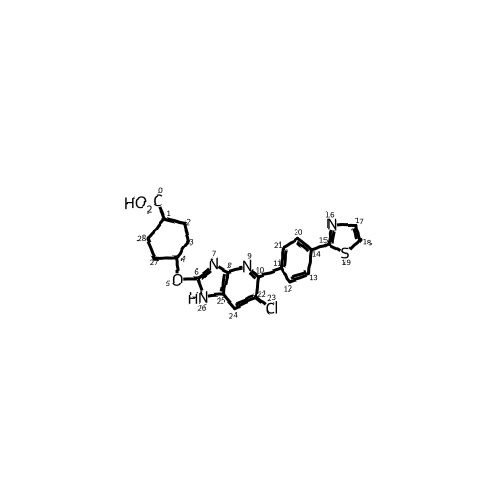 O=C(O)C1CCC(Oc2nc3nc(-c4ccc(-c5nccs5)cc4)c(Cl)cc3[nH]2)CC1